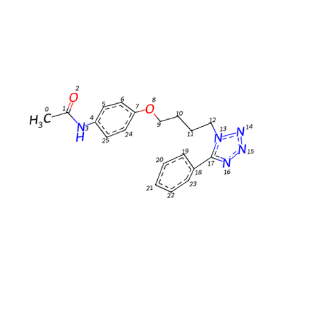 CC(=O)Nc1ccc(OCCCCn2nnnc2-c2ccccc2)cc1